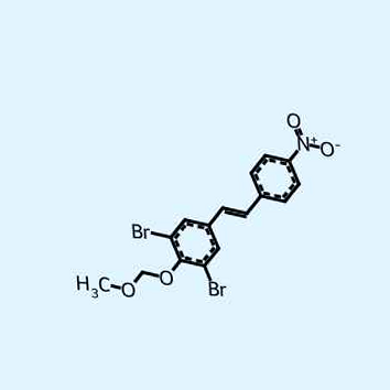 COCOc1c(Br)cc(/C=C/c2ccc([N+](=O)[O-])cc2)cc1Br